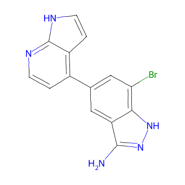 Nc1n[nH]c2c(Br)cc(-c3ccnc4[nH]ccc34)cc12